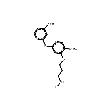 CCNCCCOc1cc(Nc2cc(NC)ccn2)ncc1OC